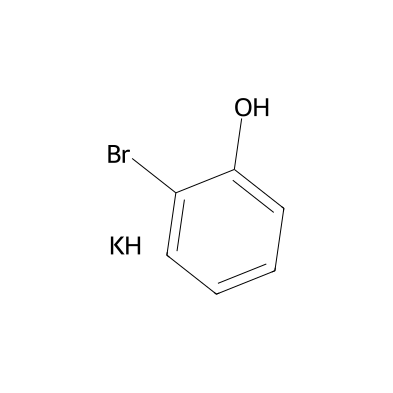 Oc1ccccc1Br.[KH]